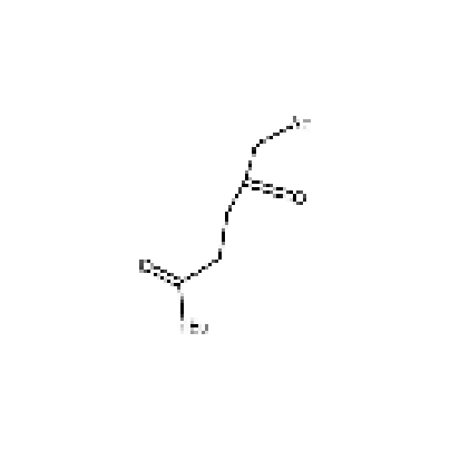 CCCCC(=O)CCC(=O)CC(C)=O